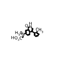 Cc1ccccc1-c1c[nH]c(=O)c2cc(N(C)CC(=O)O)ccc12